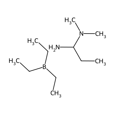 CCB(CC)CC.CCC(N)N(C)C